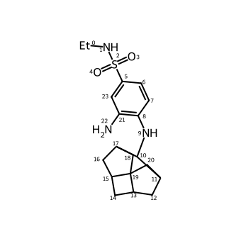 CCNS(=O)(=O)c1ccc(NC2C3CC4CC5CC2CC45C3)c(N)c1